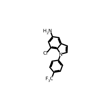 Nc1cc(Cl)c2c(ccn2-c2ccc(C(F)(F)F)cc2)c1